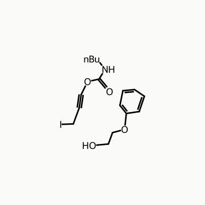 CCCCNC(=O)OC#CCI.OCCOc1ccccc1